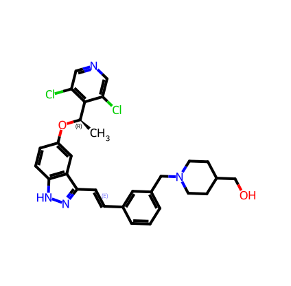 C[C@@H](Oc1ccc2[nH]nc(/C=C/c3cccc(CN4CCC(CO)CC4)c3)c2c1)c1c(Cl)cncc1Cl